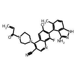 C=CC(=O)N1CCN(c2c(C#N)cnc3c(F)c(-c4c(C)ccc5[nH]nc(N)c45)c(Cl)cc23)CC1